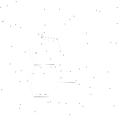 O=[N+]([O-])c1cccc2cnc(Cl)nc12